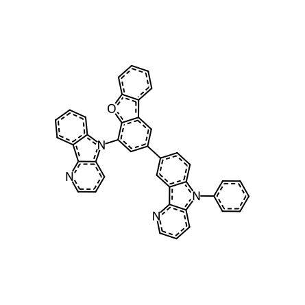 c1ccc(-n2c3ccc(-c4cc(-n5c6ccccc6c6ncccc65)c5oc6ccccc6c5c4)cc3c3ncccc32)cc1